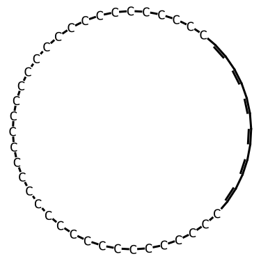 C1=CC=CC=CCCCCCCCCCCCCCCCCCCCCCCCCCCCCCCCCCCCCC=CC=CC=C1